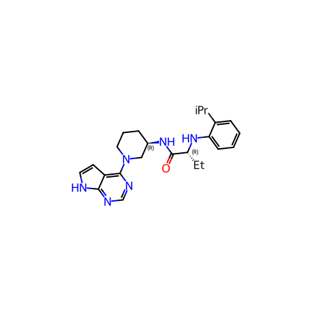 CC[C@@H](Nc1ccccc1C(C)C)C(=O)N[C@@H]1CCCN(c2ncnc3[nH]ccc23)C1